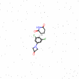 O=C1CN(c2cc(F)c([C@H]3CCC(=O)NC3=O)c(F)c2)C1